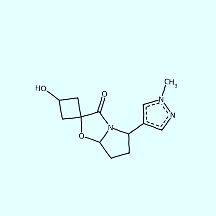 Cn1cc(C2CCC3OC4(CC(O)C4)C(=O)N32)cn1